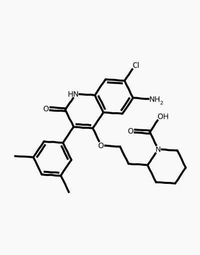 Cc1cc(C)cc(-c2c(OCCC3CCCCN3C(=O)O)c3cc(N)c(Cl)cc3[nH]c2=O)c1